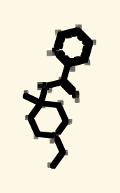 CCN1CCC(C)(NC(=O)c2ccccn2)CC1